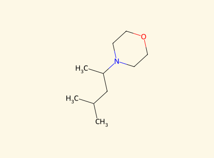 CC(C)CC(C)N1CCOCC1